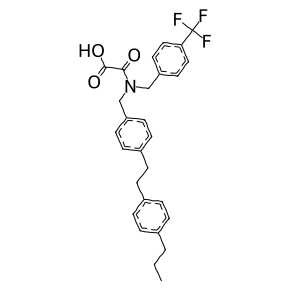 CCCc1ccc(CCc2ccc(CN(Cc3ccc(C(F)(F)F)cc3)C(=O)C(=O)O)cc2)cc1